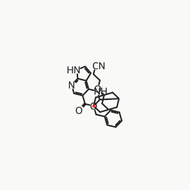 N#CCCOC12CC3CC(C1)C(Nc1c(C(=O)OCc4ccccc4)cnc4[nH]ccc14)C(C3)C2